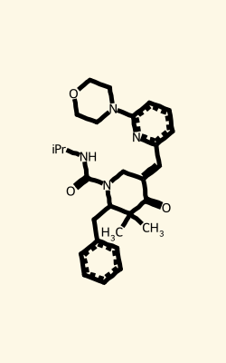 CC(C)NC(=O)N1C/C(=C\c2cccc(N3CCOCC3)n2)C(=O)C(C)(C)C1Cc1ccccc1